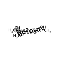 CCCC(O)c1ccc(C(=O)Oc2ccc(OC(=O)c3ccc(C(OC)[n+]4ccc(N(C)C)cc4)cc3)cc2)cc1